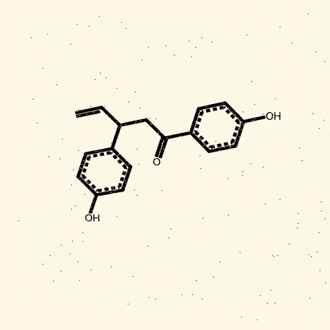 C=CC(CC(=O)c1ccc(O)cc1)c1ccc(O)cc1